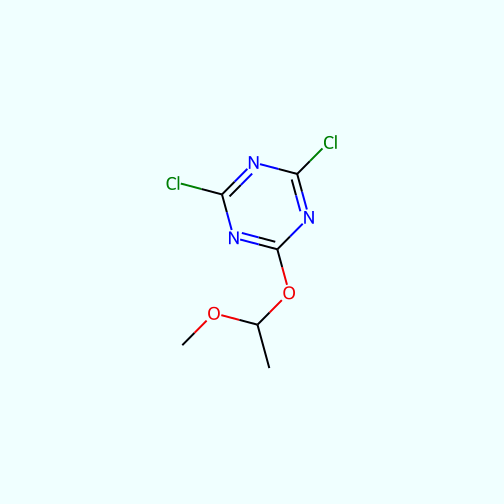 COC(C)Oc1nc(Cl)nc(Cl)n1